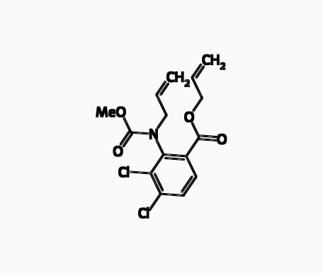 C=CCOC(=O)c1ccc(Cl)c(Cl)c1N(CC=C)C(=O)OC